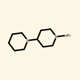 CC[C]N1CCC(N2CCCCC2)CC1